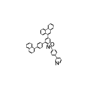 c1cncc(-c2ccc(-c3nc4c(-c5ccc(-c6cccc7ccccc67)cc5)cc(-c5cc6ccccc6c6ccccc56)cc4o3)cc2)c1